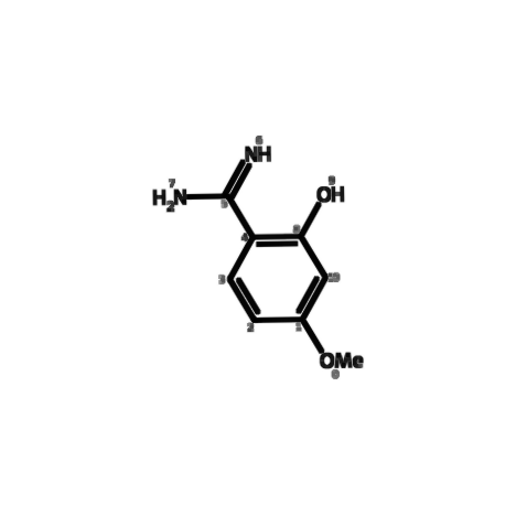 COc1ccc(C(=N)N)c(O)c1